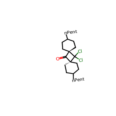 CCCCCC1CC[C@]2(CC1)C(=O)[C@@]1(CCC(CCCCC)CC1)C2(Cl)Cl